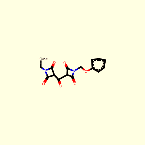 COCN1C(=O)C(C(=O)C2C(=O)N(COc3ccccc3)C2=O)C1=O